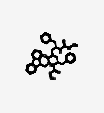 CC(C)(C)OC(=O)N[C@H](Cc1ccccc1)CN(C[C@@H](Cc1ccccc1)NC(=O)OC(C)(C)C)C(=O)OCC1c2ccccc2-c2ccccc21